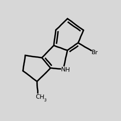 CC1CCc2c1[nH]c1c(Br)cccc21